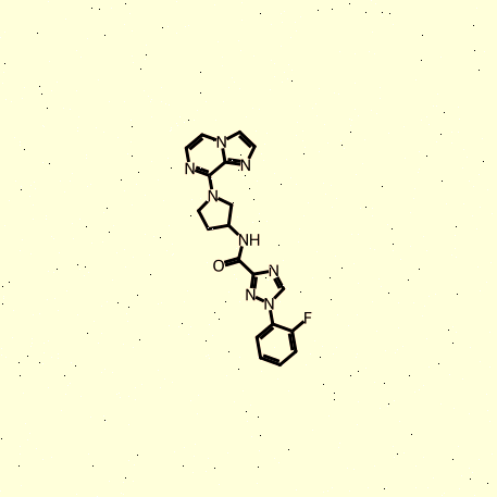 O=C(NC1CCN(c2nccn3ccnc23)C1)c1ncn(-c2ccccc2F)n1